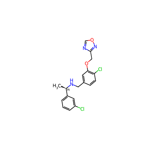 C[C@@H](NCc1ccc(Cl)c(OCc2ncon2)c1)c1cccc(Cl)c1